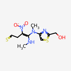 CNC(=C(CC=S)[N+](=O)[O-])N(C)c1csc(CO)n1